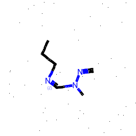 C=NN(C)/C=N\CCC